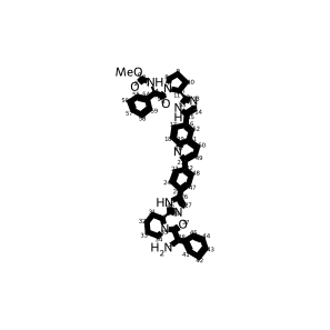 COC(=O)N[C@@H](C(=O)N1CCC[C@H]1c1ncc(-c2ccc3nc(-c4ccc(-c5cnc([C@@H]6CCCCN6C(=O)C(N)c6ccccc6)[nH]5)cc4)ccc3c2)[nH]1)c1ccccc1